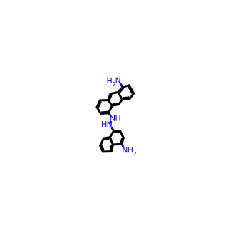 Nc1cccc2cc3c(NNc4ccc(N)c5ccccc45)cccc3cc12